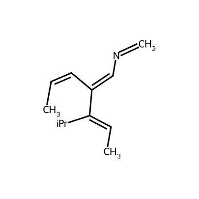 C=N/C=C(\C=C/C)C(=C/C)/C(C)C